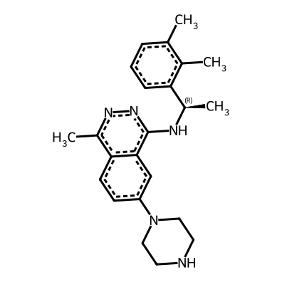 Cc1cccc([C@@H](C)Nc2nnc(C)c3ccc(N4CCNCC4)cc23)c1C